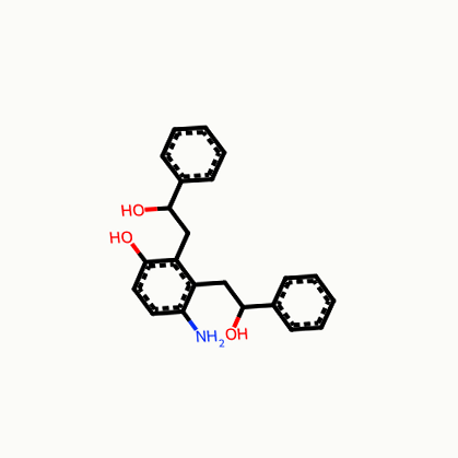 Nc1ccc(O)c(CC(O)c2ccccc2)c1CC(O)c1ccccc1